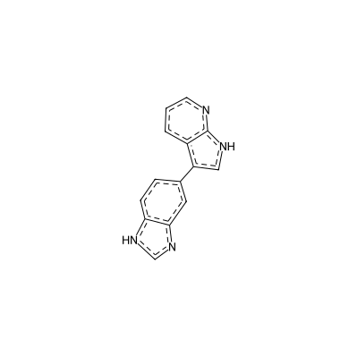 c1cnc2[nH]cc(-c3ccc4[nH]cnc4c3)c2c1